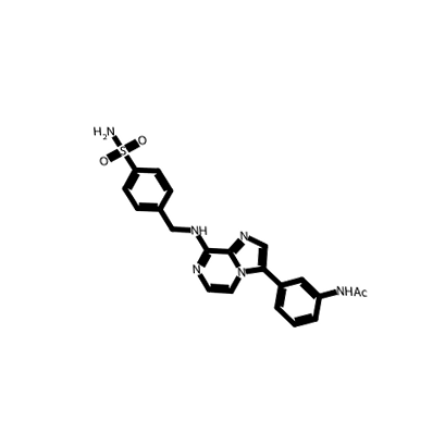 CC(=O)Nc1cccc(-c2cnc3c(NCc4ccc(S(N)(=O)=O)cc4)nccn23)c1